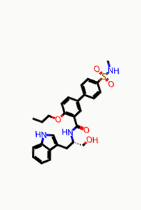 CCCOc1ccc(-c2ccc(S(=O)(=O)NC)cc2)cc1C(=O)N[C@H](CO)Cc1c[nH]c2ccccc12